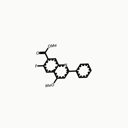 COC(=O)c1cc2nc(-c3ccccc3)cc(OC)c2cc1F